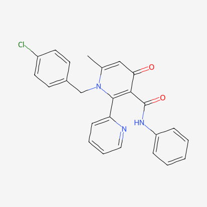 Cc1cc(=O)c(C(=O)Nc2ccccc2)c(-c2ccccn2)n1Cc1ccc(Cl)cc1